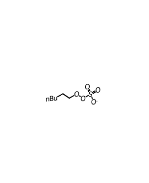 CCCCCCOOS([O])(=O)=O